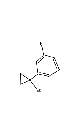 CCC1(c2cccc(F)c2)CC1